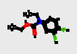 CCOC(=O)N(CC)c1ccc(F)c(F)c1